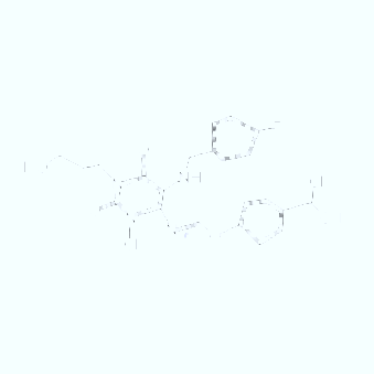 CC(C)c1ccc(O/C=N/c2c(NCc3ccc(F)cc3)c(=O)n(CCCO)c(=O)n2C)cc1